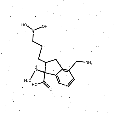 CNC1(C(=O)O)c2cccc(CN)c2CC1CCCB(O)O